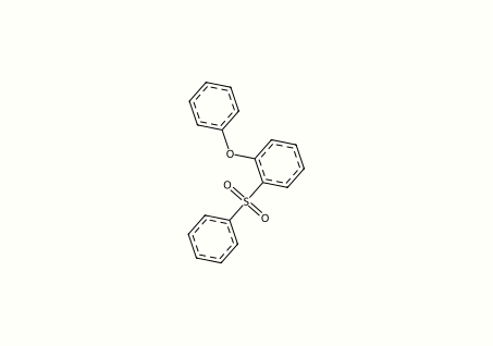 O=S(=O)(c1ccccc1)c1ccccc1Oc1ccccc1